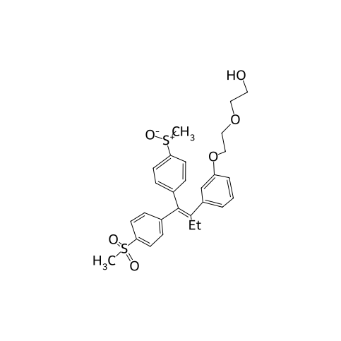 CC/C(=C(/c1ccc([S+](C)[O-])cc1)c1ccc(S(C)(=O)=O)cc1)c1cccc(OCCOCCO)c1